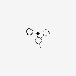 Cc1ccc(Nc2ccccc2)c(-c2ccccc2)c1